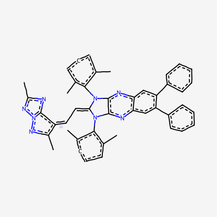 Cc1nc2/c(=C\C=C3N(c4c(C)cccc4C)c4nc5cc(-c6ccccc6)c(-c6ccccc6)cc5nc4N3c3c(C)cccc3C)c(C)nn2n1